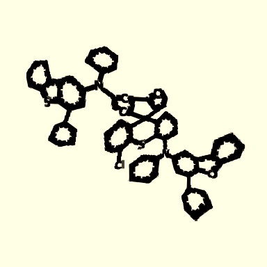 Clc1cccc2c1Sc1c(N(c3ccccc3)c3cc(-c4ccccc4)c4oc5ccccc5c4c3)cccc1C21c2ccccc2-c2cc(N(c3ccccc3)c3cc(-c4ccccc4)c4sc5ccccc5c4c3)ccc21